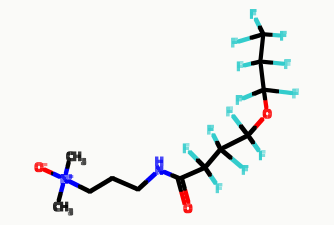 C[N+](C)([O-])CCCNC(=O)C(F)(F)C(F)(F)C(F)(F)OC(F)(F)C(F)(F)C(F)(F)F